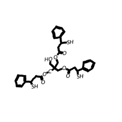 O=C(CC(S)c1ccccc1)OCC(CO)(COC(=O)CC(S)c1ccccc1)COC(=O)CC(S)c1ccccc1